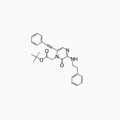 CC(C)(C)OC(=O)Cn1c(C#Cc2ccccc2)cnc(NCCc2ccccc2)c1=O